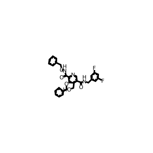 O=C(NCc1cc(F)cc(F)c1)c1cnc(C(=O)NOCc2ccccc2)c(OCc2ccccc2)c1CO